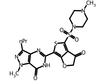 CCCc1nn(C)c2c(=O)[nH]c(-c3sc(S(=O)(=O)N4CCN(C)CC4)c4c3OCC4=O)nc12